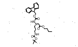 CCCCOC(=O)CN(CCCNC(=O)OC(C)(C)C)NC(=O)OCC1c2ccccc2-c2ccccc21